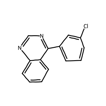 Clc1cccc(-c2ncnc3ccccc23)c1